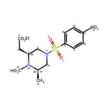 CCOC(=O)C[C@H]1CN(S(=O)(=O)c2ccc([N+](=O)[O-])cc2)C[C@@H](C)N1C(=O)O